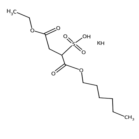 CCCCCCOC(=O)C(CC(=O)OCC)S(=O)(=O)O.[KH]